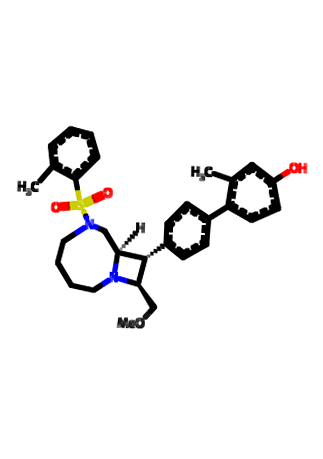 COC[C@@H]1[C@@H](c2ccc(-c3ccc(O)cc3C)cc2)[C@@H]2CN(S(=O)(=O)c3ccccc3C)CCCCN12